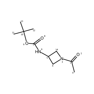 CC(=O)N1CC(NC(=O)OC(C)(C)C)C1